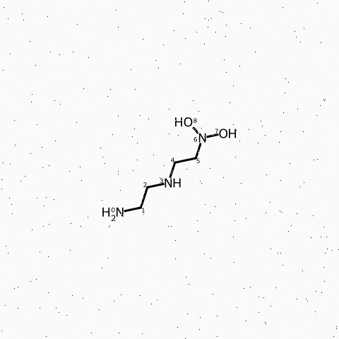 NCCNCCN(O)O